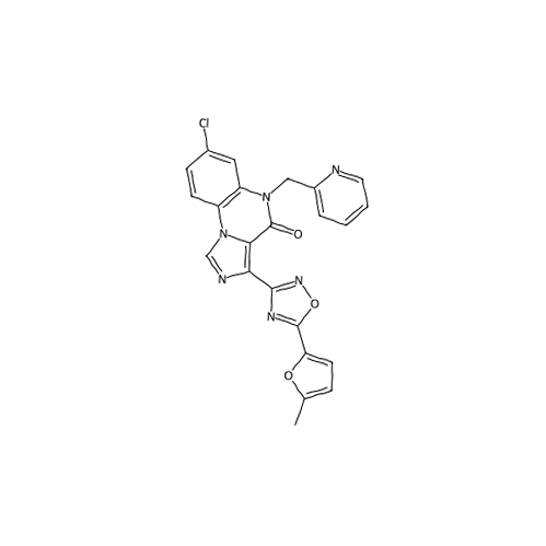 Cc1ccc(-c2nc(-c3ncn4c3c(=O)n(Cc3ccccn3)c3cc(Cl)ccc34)no2)o1